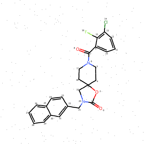 O=C1OC2(CCN(C(=O)c3cccc(Cl)c3F)CC2)CN1Cc1ccc2ccccc2c1